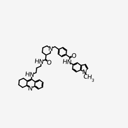 Cn1ccc2cc(NC(=O)c3ccc(CN4CCCC(C(=O)NCCCNc5c6c(nc7ccccc57)CCCC6)C4)cc3)ccc21